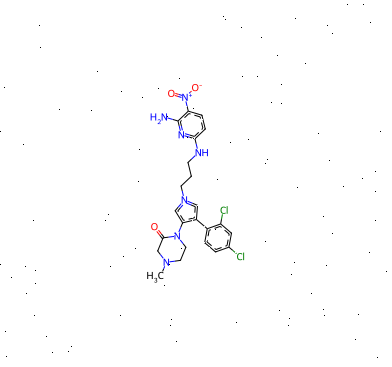 CN1CCN(c2cn(CCCNc3ccc([N+](=O)[O-])c(N)n3)cc2-c2ccc(Cl)cc2Cl)C(=O)C1